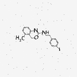 Cc1cccc2c1COC(NCCc1ccc(I)cc1)=N2